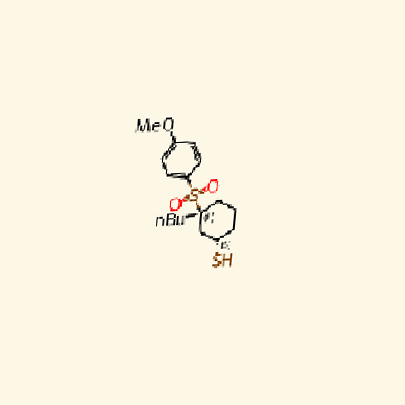 CCCC[C@@]1(S(=O)(=O)c2ccc(OC)cc2)CCC[C@H](S)C1